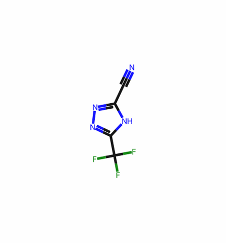 N#Cc1nnc(C(F)(F)F)[nH]1